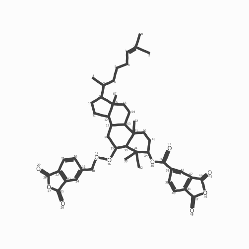 CC(C)=CCCCC(C)C1CCC2C3CC(OOCc4ccc5c(c4)C(=O)OC5=O)C4C(C)(C)C(OC(=O)c5ccc6c(c5)C(=O)OC6=O)CCC4(C)C3CCC12C